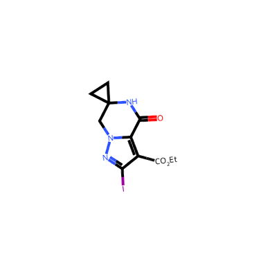 CCOC(=O)c1c(I)nn2c1C(=O)NC1(CC1)C2